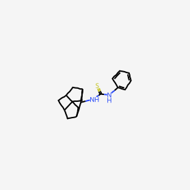 S=C(Nc1ccccc1)NC1C2CC3CC4CC1CC34C2